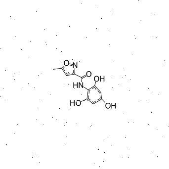 Cc1cc(C(=O)Nc2c(O)cc(O)cc2O)no1